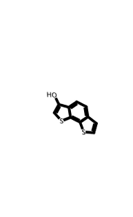 Oc1csc2c1ccc1ccsc12